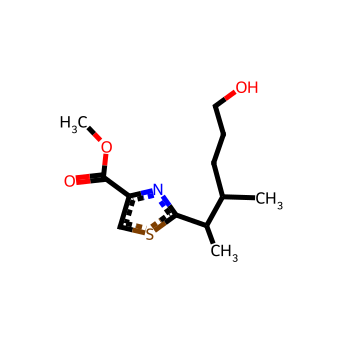 COC(=O)c1csc(C(C)C(C)CCCO)n1